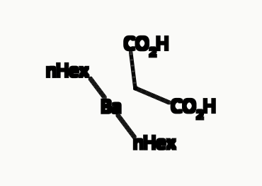 CCCCC[CH2][Ba][CH2]CCCCC.O=C(O)CC(=O)O